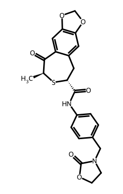 C[C@@H]1S[C@@H](C(=O)Nc2ccc(CN3CCOC3=O)cc2)Cc2cc3c(cc2C1=O)OCO3